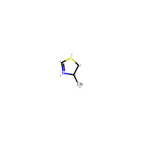 N#CC1[CH]S[C]=N1